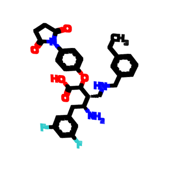 CCc1cccc(CNC[C@@H](C(Oc2ccc(N3C(=O)CCC3=O)cc2)C(=O)O)[C@@H](N)Cc2cc(F)cc(F)c2)c1